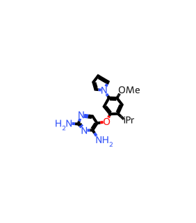 COc1cc(C(C)C)c(Oc2cnc(N)nc2N)cc1-n1cccc1